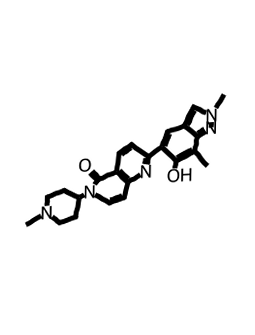 Cc1c(O)c(-c2ccc3c(=O)n(C4CCN(C)CC4)ccc3n2)cc2cn(C)nc12